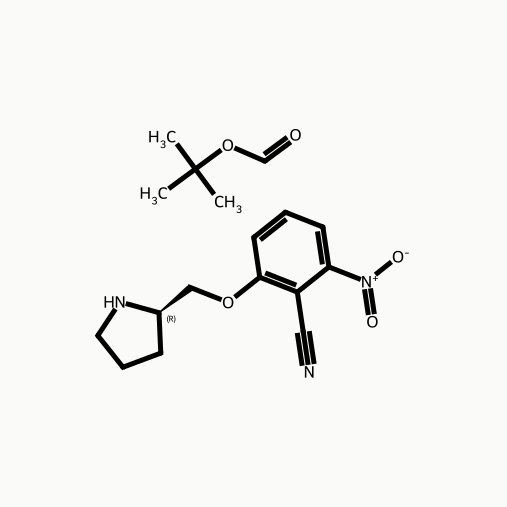 CC(C)(C)OC=O.N#Cc1c(OC[C@H]2CCCN2)cccc1[N+](=O)[O-]